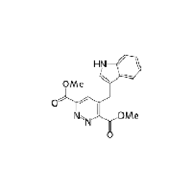 COC(=O)c1cc(Cc2c[nH]c3ccccc23)c(C(=O)OC)nn1